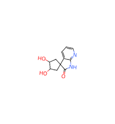 O=C1Nc2ncccc2C12CC(O)C(O)C2